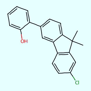 CC1(C)c2ccc(-c3ccccc3O)cc2-c2ccc(Cl)cc21